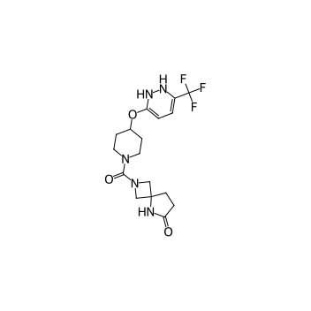 O=C1CCC2(CN(C(=O)N3CCC(OC4=CC=C(C(F)(F)F)NN4)CC3)C2)N1